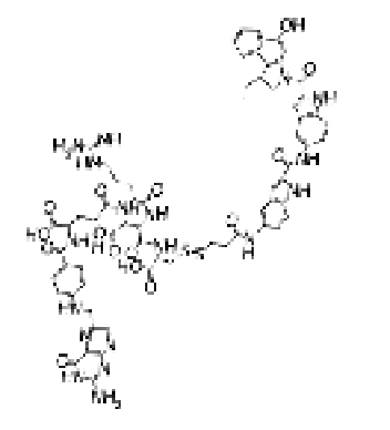 CCC1CN(C(=O)c2cc3cc(NC(=O)c4cc5cc(NC(=O)CCSSCC(NC(=O)[C@@H](CC(=O)O)NC(=O)[C@@H](CCCNC(=N)N)NC(=O)CC[C@@H](NC(=O)c6ccc(NCc7cnc8nc(N)[nH]c(=O)c8n7)cc6)C(=O)O)C(=O)O)ccc5[nH]4)ccc3[nH]2)c2cc(O)c3ccccc3c21